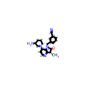 C[C@H]1C(=O)N(Cc2cccc(C#N)c2)c2c(N3CCCC(N)C3)ccnc21